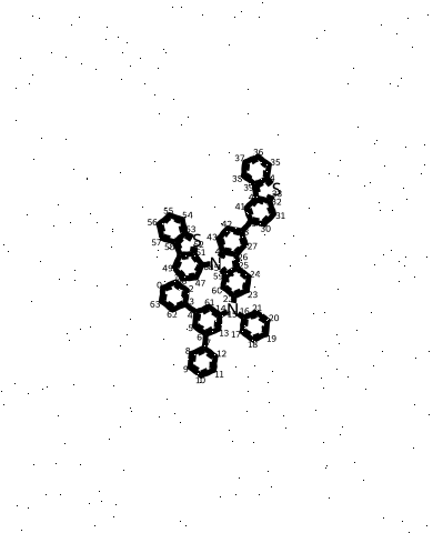 c1ccc(-c2cc(-c3ccccc3)cc(N(c3ccccc3)c3ccc4c5cc(-c6ccc7sc8ccccc8c7c6)ccc5n(-c5cccc6c5sc5ccccc56)c4c3)c2)cc1